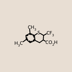 Cc1cc(C)c2c(c1)CC(C(=O)O)C(C(F)(F)F)S2